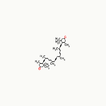 CC(C#CC1=C(C)CC(=O)CC1(C)C)=CC=CC(C)=CC#CC=C(C)C=CC=C(C)C#CC1=C(C)CC(=O)CC1(C)C